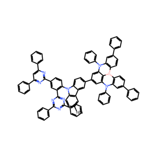 CCCCc1ccc2c(c1)c1cc(-c3cc4c5c(c3)N(c3ccccc3)c3cc(-c6ccccc6)ccc3B5c3ccc(-c5ccccc5)cc3N4c3ccccc3)ccc1n2-c1ccc(-c2nc(-c3ccccc3)cc(-c3ccccc3)n2)cc1-c1nc(-c2ccccc2)nc(-c2ccccc2)n1